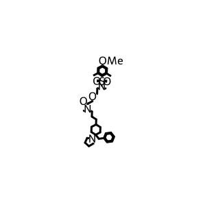 COc1cc(C)c(S(=O)(=O)N(C)CCOCC(=O)N(C)CCCC2CCC(Cc3ccccc3)(N3CCCC3)CC2)c(C)c1